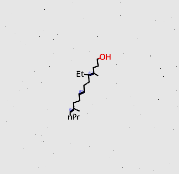 CCC/C=C(\C)CC/C=C/CC/C(CC)=C(\C)CCCO